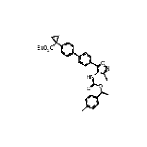 CCOC(=O)C1(c2ccc(-c3ccc(-c4onc(C)c4NC(=O)OC(C)c4ccc(C)cc4)cc3)cc2)CC1